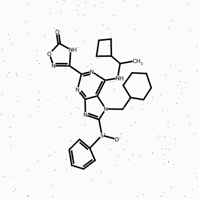 CC(Nc1nc(-c2noc(=O)[nH]2)nc2nc([S+]([O-])c3ccccc3)n(CC3CCCCC3)c12)C1CCC1